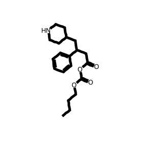 CCCCOC(=O)OC(=O)CC(CC1CCNCC1)c1ccccc1